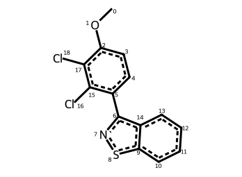 COc1ccc(-c2nsc3ccccc23)c(Cl)c1Cl